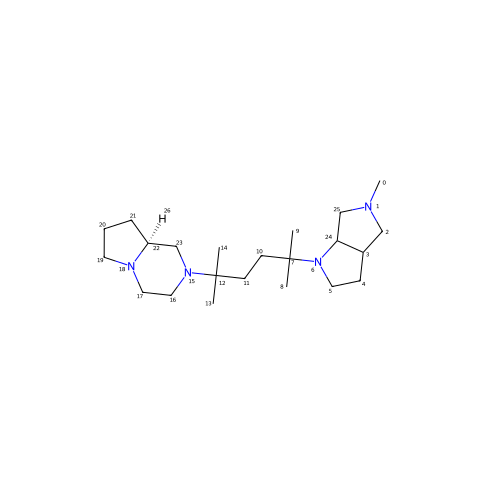 CN1CC2CCN(C(C)(C)CCC(C)(C)N3CCN4CCC[C@H]4C3)C2C1